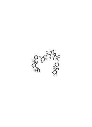 Cc1ccc(S(=O)(=O)c2ccc(CNC(=O)c3cc4ccnc(NC(=O)c5cc6c(Cc7cccc(S(=O)(=O)c8ccc(C)c(N9C=CON9)c8)c7)cncc6s5)c4o3)cc2)cc1F